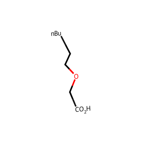 [CH2]CCCCCOCC(=O)O